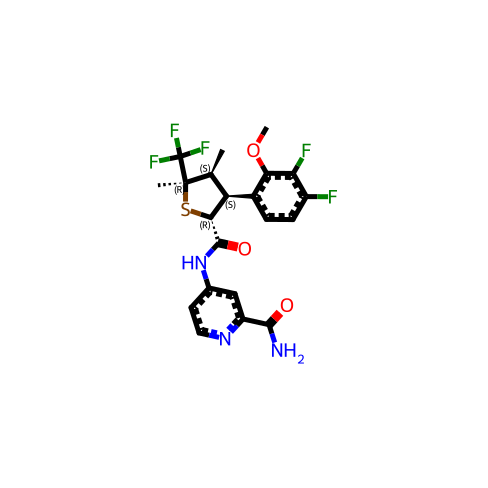 COc1c([C@H]2[C@H](C(=O)Nc3ccnc(C(N)=O)c3)S[C@@](C)(C(F)(F)F)[C@H]2C)ccc(F)c1F